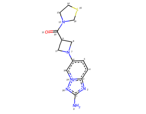 Nc1nc2ccc(N3CC(C(=O)N4CCSC4)C3)cn2n1